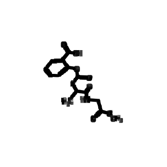 COC(=O)CNC(=O)C(C)SC(=O)Oc1ccccc1C(=O)O